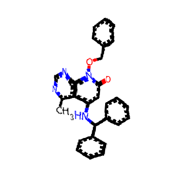 Cc1ncnc2c1c(NC(c1ccccc1)c1ccccc1)cc(=O)n2OCc1ccccc1